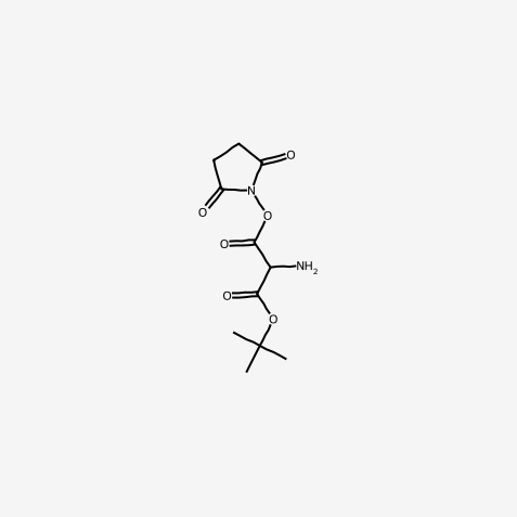 CC(C)(C)OC(=O)C(N)C(=O)ON1C(=O)CCC1=O